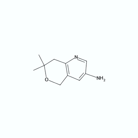 CC1(C)Cc2ncc(N)cc2CO1